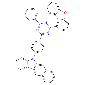 c1ccc(-c2nc(-c3ccc(-n4c5ccccc5c5cc6ccccc6cc54)cc3)nc(-c3cccc4oc5ccccc5c34)n2)cc1